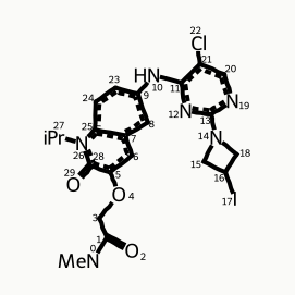 CNC(=O)COc1cc2cc(Nc3nc(N4CC(I)C4)ncc3Cl)ccc2n(C(C)C)c1=O